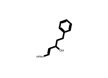 CCCCCCC=CC(O)CCc1ccccc1